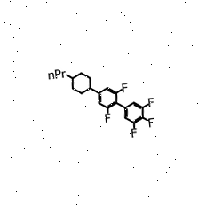 CCCC1CCC(c2cc(F)c(-c3cc(F)c(F)c(F)c3)c(F)c2)CC1